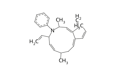 C=C/C1=C/C(C)N(c2ccccc2)C(C=C)/C=C\C(C)C/C=C1/C=C\C